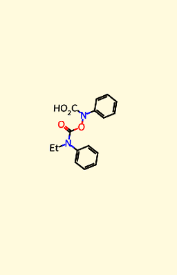 CCN(C(=O)ON(C(=O)O)c1ccccc1)c1ccccc1